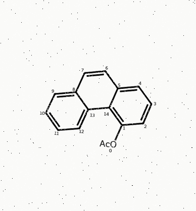 CC(=O)Oc1cccc2ccc3ccccc3c12